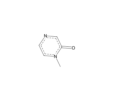 Cn1ccncc1=O